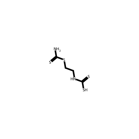 NC(=S)SCCNC(=S)S